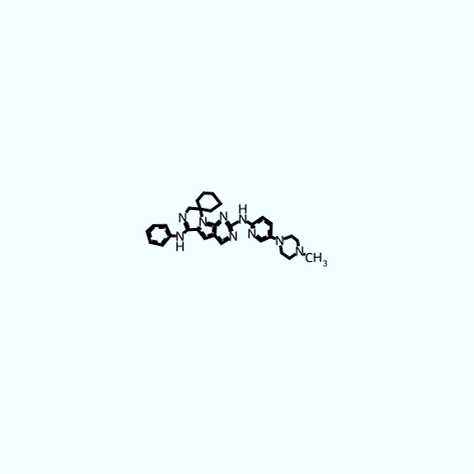 CN1CCN(c2ccc(Nc3ncc4cc5n(c4n3)C3(CCCCC3)CN=C5Nc3ccccc3)nc2)CC1